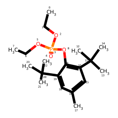 CCOP(=O)(OCC)Oc1c(C(C)(C)C)cc(C)cc1C(C)(C)C